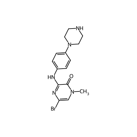 Cn1cc(Br)nc(Nc2ccc(N3CCNCC3)cc2)c1=O